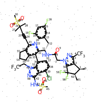 C[C@@H]1c2c(C(F)(F)F)nn(CC(=O)N[C@@H](Cc3cc(F)cc(F)c3)c3nc(C#CC(C)(C)S(C)(=O)=O)c4c(c3-c3ccc(Cl)c5c(NS(C)(=O)=O)nn(CC(F)(F)F)c35)CCC4)c2C(F)(F)[C@@H]1C